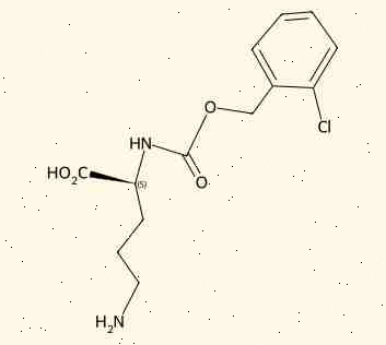 NCCC[C@H](NC(=O)OCc1ccccc1Cl)C(=O)O